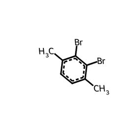 Cc1ccc(C)c(Br)c1Br